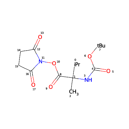 CC(C)C(C)(NC(=O)OC(C)(C)C)C(=O)ON1C(=O)CCC1=O